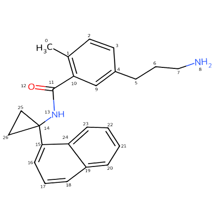 Cc1ccc(CCCN)cc1C(=O)NC1(c2cccc3ccccc23)CC1